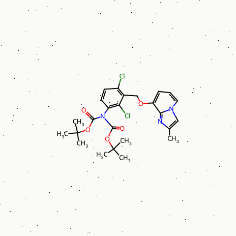 Cc1cn2cccc(OCc3c(Cl)ccc(N(C(=O)OC(C)(C)C)C(=O)OC(C)(C)C)c3Cl)c2n1